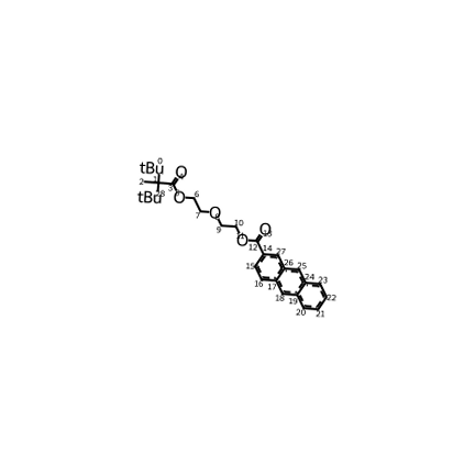 CC(C)(C)C(C)(C(=O)OCCOCCOC(=O)c1ccc2cc3ccccc3cc2c1)C(C)(C)C